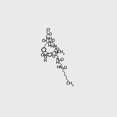 CCCCCCCC(=O)NCCC(=O)NCC(=O)N(C)C1C(=O)NCC(=O)NC(C(=O)NCC(=O)CCl)Cc2ccc(O)c(c2)-c2cc1ccc2O